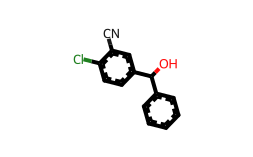 N#Cc1cc(C(O)c2ccccc2)ccc1Cl